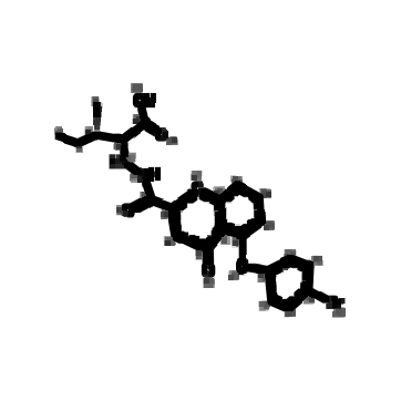 CC[C@H](C)[C@H](NNC(=O)c1cc(=O)c2c(Oc3ccc(Br)cc3)cccc2o1)C(=O)O